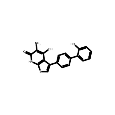 Nc1c(O)c2c(-c3ccc(-c4ccccc4O)cc3)csc2[nH]c1=O